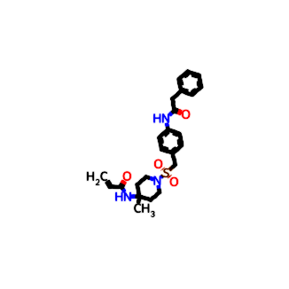 C=CC(=O)NC1(C)CCN(S(=O)(=O)Cc2ccc(NC(=O)Cc3ccccc3)cc2)CC1